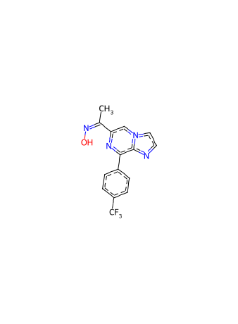 C/C(=N/O)c1cn2ccnc2c(-c2ccc(C(F)(F)F)cc2)n1